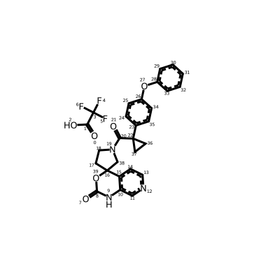 O=C(O)C(F)(F)F.O=C1Nc2cnccc2C2(CCN(C(=O)C3(c4ccc(Oc5ccccc5)cc4)CC3)C2)O1